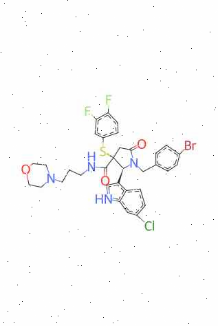 O=C1C[C@@](Sc2ccc(F)c(F)c2)(C(=O)NCCCN2CCOCC2)[C@H](c2c[nH]c3cc(Cl)ccc23)N1Cc1ccc(Br)cc1